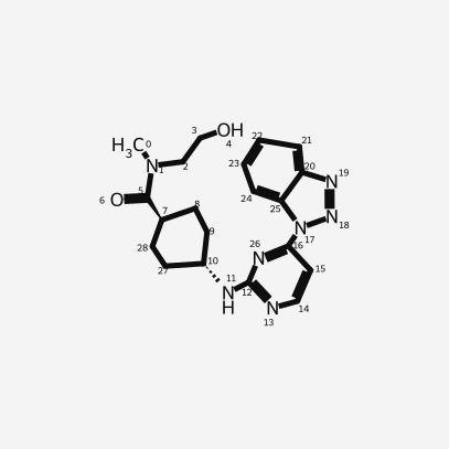 CN(CCO)C(=O)[C@H]1CC[C@H](Nc2nccc(-n3nnc4ccccc43)n2)CC1